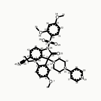 CCOc1ccc(OC)cc1C1(N2CCN(c3ccncc3)CC2)C(=O)N(S(=O)(=O)c2ccc(OC)cc2OC)c2ccc(C#N)cc21